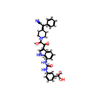 N#CC(=C1CCN(C(=O)C(=O)c2c[nH]c3c(NC(=O)Nc4cccc(C(=O)O)c4)cccc23)CC1)c1ccccc1